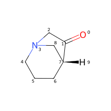 O=C1CN2CCC[C@@H]1C2